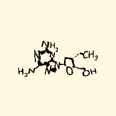 CC[C@H]1C[C@H](n2cnc3c(N)nc(N)nc32)O[C@@H]1CO